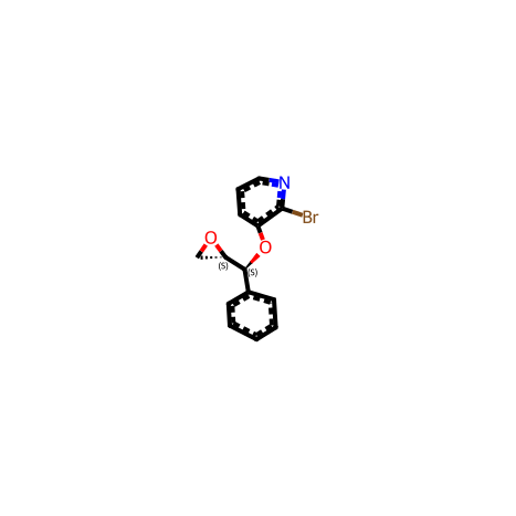 Brc1ncccc1O[C@@H](c1ccccc1)[C@@H]1CO1